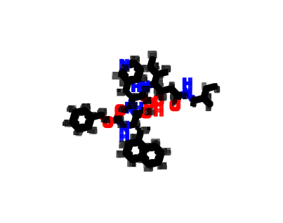 CCC(C)CNC(=O)CC(O)C(NC(=O)[C@H](Cc1cccnc1)NC(=O)[C@H](Cc1cccc2ccccc12)NC(=O)OCc1ccccc1)C(C)CC